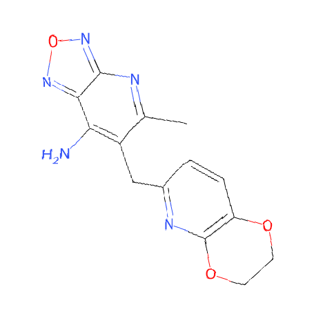 Cc1nc2nonc2c(N)c1Cc1ccc2c(n1)OCCO2